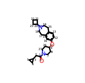 O=C(CC1CC1)N1CCC(Oc2ccc3c(c2)CCN(C2CCC2)CC3)CC1